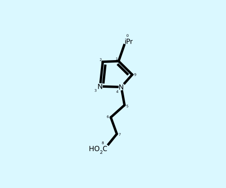 CC(C)c1cnn(CCCC(=O)O)c1